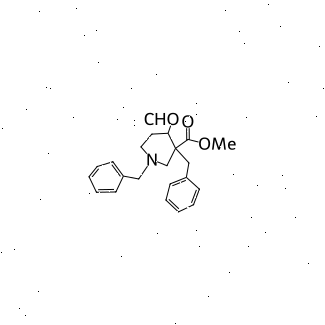 COC(=O)C1(Cc2ccccc2)CN(Cc2ccccc2)CCC1C=O